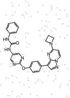 O=C(Nc1ccccc1)Nc1cnc(Oc2ccc(-c3cnn4ccc(N5CCC5)nc34)cc2)nc1